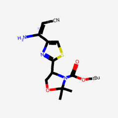 CC(C)(C)OC(=O)N1C(c2nc(/C(N)=C\C#N)cs2)COC1(C)C